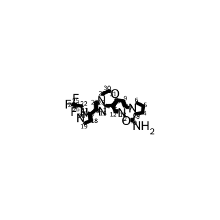 NC(=O)[C@@H]1CCCN1c1cc2c(cn1)-c1nc(-c3ccnn3CC(F)(F)F)cn1CCO2